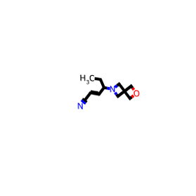 CCC(C=CC#N)N1CC2(COC2)C1